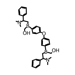 CN(C)C(CB(CO)c1ccc(Oc2ccc(B(CO)CC(c3ccccc3)N(C)C)cc2)cc1)c1ccccc1